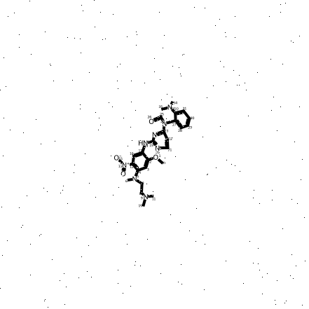 COc1cc(N(C)CCN(C)C)c([N+](=O)[O-])cc1Nc1nccc(N(C=O)c2ccccc2N(C)C)n1